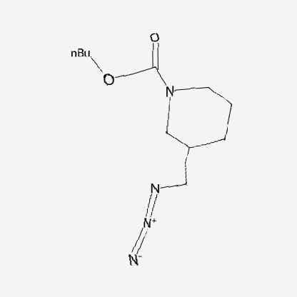 CCCCOC(=O)N1CCCC(CN=[N+]=[N-])C1